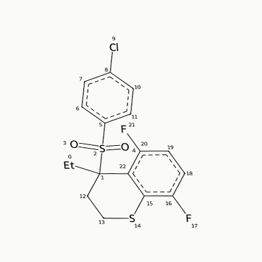 CCC1(S(=O)(=O)c2ccc(Cl)cc2)CCSc2c(F)ccc(F)c21